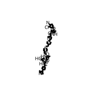 Cc1ncsc1-c1ccc([C@H](C)NC(=O)[C@@H]2C[C@@H](O)CN2C(=O)C(NC(=O)CN2CCN(CCC3CCN(c4ccc(C(=O)N[C@H]5C(C)(C)[C@H](Oc6ccc(C#N)c(Cl)c6)C5(C)C)cn4)CC3)CC2)C(C)(C)C)cc1